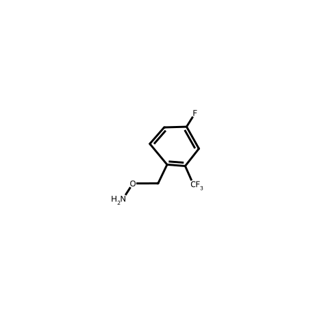 NOCc1ccc(F)cc1C(F)(F)F